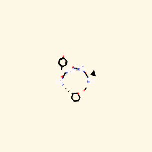 C[C@@H]1C(=O)N[C@H](Cc2ccc(O)cc2)C(=O)NCCCC2CCCCC2OCCN[C@@H](C2CC2)C(=O)N1C